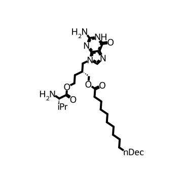 CCCCCCCCCCCCCCCCCCCC(=O)OC[C@H](CCOC(=O)[C@@H](N)C(C)C)Cn1cnc2c(=O)[nH]c(N)nc21